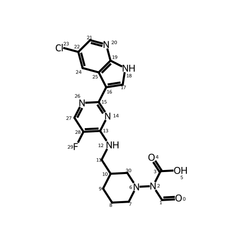 O=CN(C(=O)O)N1CCCC(CNc2nc(-c3c[nH]c4ncc(Cl)cc34)ncc2F)C1